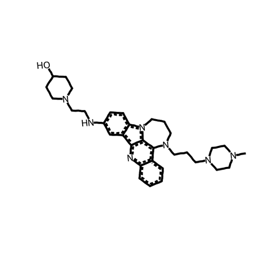 CN1CCN(CCCN2CCCn3c4ccc(NCCN5CCC(O)CC5)cc4c4nc5ccccc5c2c43)CC1